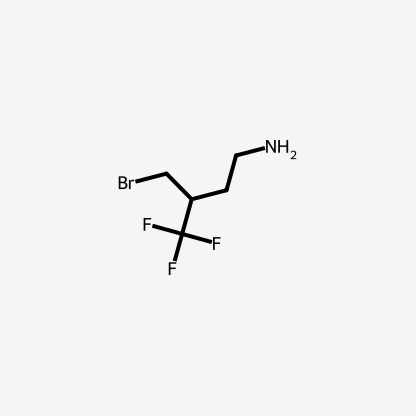 NCCC(CBr)C(F)(F)F